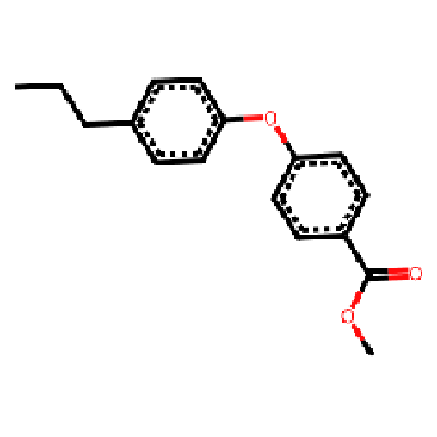 CCCc1ccc(Oc2ccc(C(=O)OC)cc2)cc1